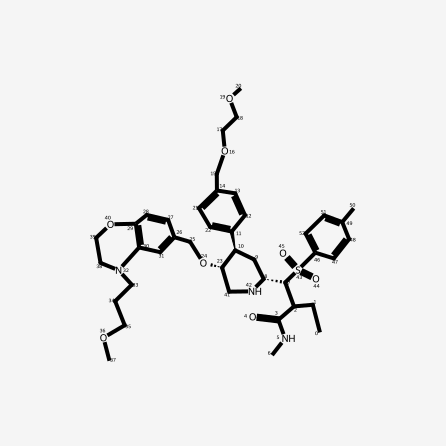 CCC(C(=O)NC)C([C@H]1C[C@H](c2ccc(COCCOC)cc2)[C@@H](OCc2ccc3c(c2)N(CCCOC)CCO3)CN1)S(=O)(=O)c1ccc(C)cc1